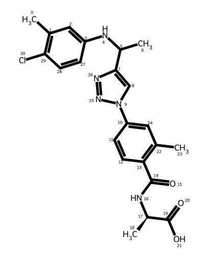 Cc1cc(NC(C)c2cn(-c3ccc(C(=O)N[C@H](C)C(=O)O)c(C)c3)nn2)ccc1Cl